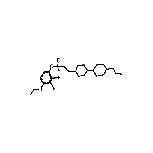 CCCC1CCC(C2CCC(CCC(F)(F)Oc3ccc(OCC)c(F)c3F)CC2)CC1